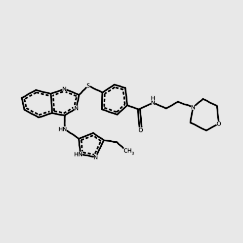 CCc1cc(Nc2nc(Sc3ccc(C(=O)NCCN4CCOCC4)cc3)nc3ccccc23)[nH]n1